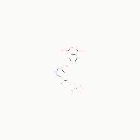 CCC(=CCCC(O)(CC)CC)c1cncc(COc2ccc(C(=O)O)c(C(=O)O)c2)c1